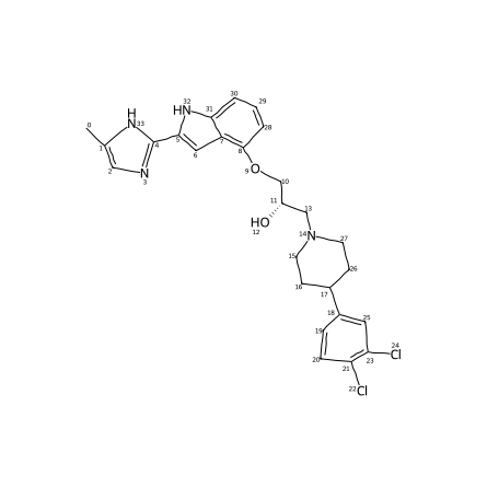 Cc1cnc(-c2cc3c(OC[C@@H](O)CN4CCC(c5ccc(Cl)c(Cl)c5)CC4)cccc3[nH]2)[nH]1